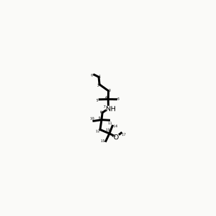 CCCCC(C)(C)NCC(C)(C)CC(C)(C)OC